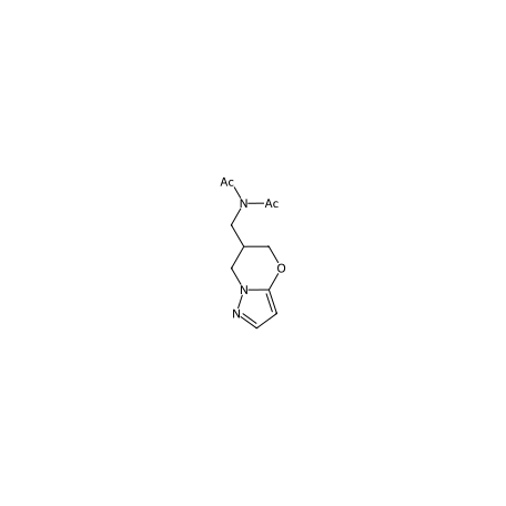 CC(=O)N(CC1COc2ccnn2C1)C(C)=O